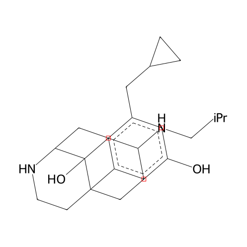 CC(C)CNC1CCC23CCNC(Cc4c(CC5CC5)cc(O)cc42)C3(O)C1